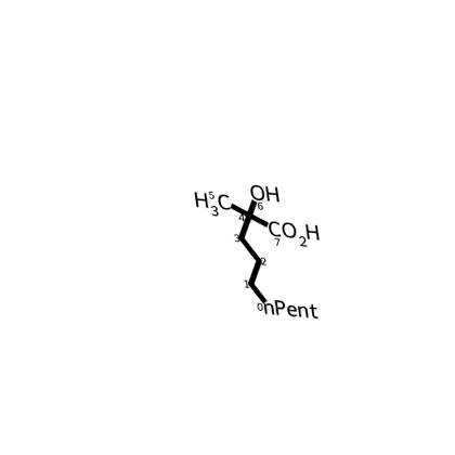 CCCCCCCCC(C)(O)C(=O)O